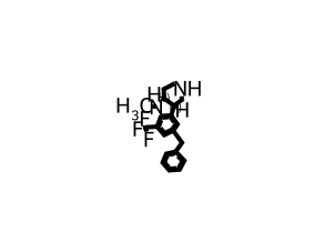 CN1c2c(cc(Cc3ccccc3)cc2C(F)(F)F)[C@@H]2CNCC[C@@H]21